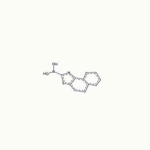 OB(O)c1nc2c(ccc3ccccc32)s1